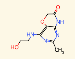 Cc1nc(NCCO)c2c(n1)NC(=O)CO2